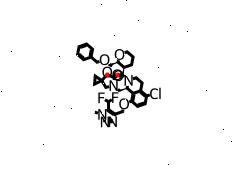 Cn1nnc(COc2ccc(Cl)c3c2[C@@H](CN2CC4(CC4)CC2=O)N(C(=O)[C@@H]2CCCO[C@@H]2C(=O)OCc2ccccc2)CC3)c1C(F)F